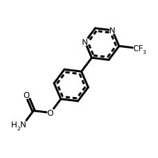 NC(=O)Oc1ccc(-c2cc(C(F)(F)F)ncn2)cc1